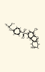 O=S(=O)(c1ccc(OC(F)F)cc1)c1cc(Cl)c2oc3c(c2c1)CNCC3